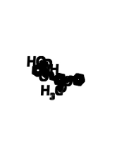 COc1cc(C=CC(=O)NC2(C(=O)O)CCCCC2)ccc1OCc1ccccc1